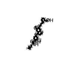 COc1cc2c(Oc3ccc(NC(=O)NCCC(C)(C)C)c(Cl)c3)ccnc2cc1OCCCN1CCCC1CO